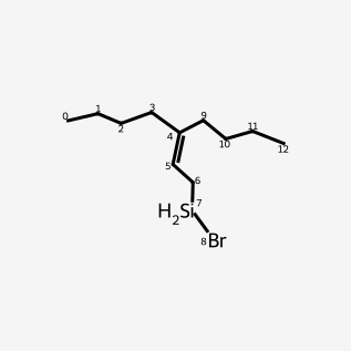 CCCCC(=CC[SiH2]Br)CCCC